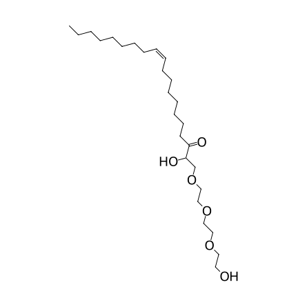 CCCCCCCC/C=C\CCCCCCCC(=O)C(O)COCCOCCOCCO